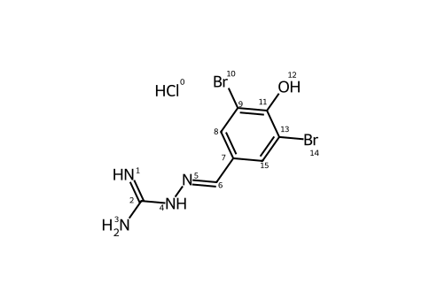 Cl.N=C(N)NN=Cc1cc(Br)c(O)c(Br)c1